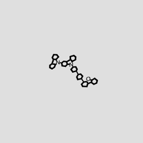 c1ccc2c(c1)oc1c(-c3ccc(-c4ccc(-n5c6ccccc6c6cc(-n7c8ccccc8c8ccccc87)ccc65)cc4)cc3)cccc12